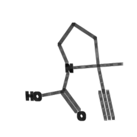 C#CC1(C)CCCN1C(=O)O